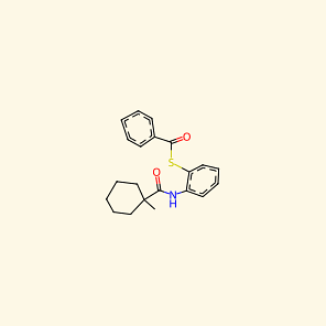 CC1(C(=O)Nc2ccccc2SC(=O)c2ccccc2)CCCCC1